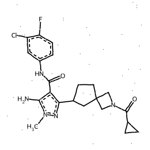 Cn1nc(C2CCC3(C2)CN(C(=O)C2CC2)C3)c(C(=O)Nc2ccc(F)c(Cl)c2)c1N